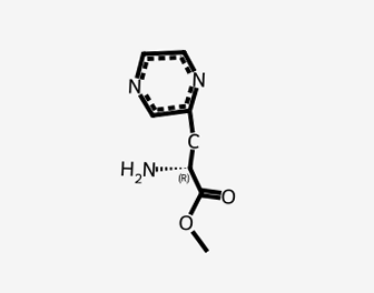 COC(=O)[C@H](N)Cc1cnccn1